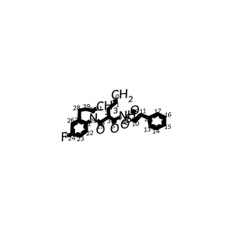 C=CCC(C(=O)NS(=O)(=O)/C=C/c1ccccc1)C(=O)N1c2ccc(F)cc2CCC1C